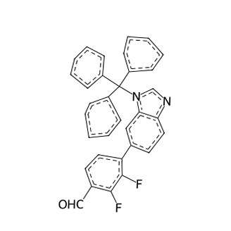 O=Cc1ccc(-c2ccc3ncn(C(c4ccccc4)(c4ccccc4)c4ccccc4)c3c2)c(F)c1F